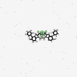 Cc1ccc2c(c1-c1ccccc1)C=C(C(F)(F)F)C2C[SiH2]CC1C(C(F)(F)F)=Cc2c1ccc(C)c2-c1ccccc1